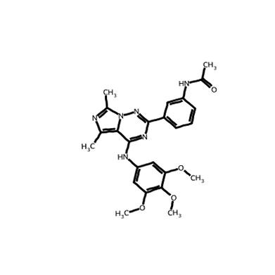 COc1cc(Nc2nc(-c3cccc(NC(C)=O)c3)nn3c(C)nc(C)c23)cc(OC)c1OC